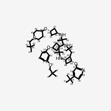 CC(C)(C)COc1cccc(O[C@H]2C[C@@H](NC(C)(C)CC3[C@H](NC(C)(C)CCC(C)(C)N[C@H]4C[C@H](OC5CCN(CC(C)(C)C)CC5)C4)C[C@H]3Oc3cc(C(C)(C)C)ccn3)C2)c1